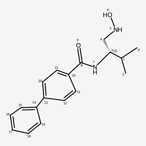 CC(C)[C@@H](CNO)NC(=O)c1ccc(-c2ccccc2)cc1